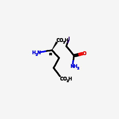 NC(=O)CI.N[C@@H](CCC(=O)O)C(=O)O